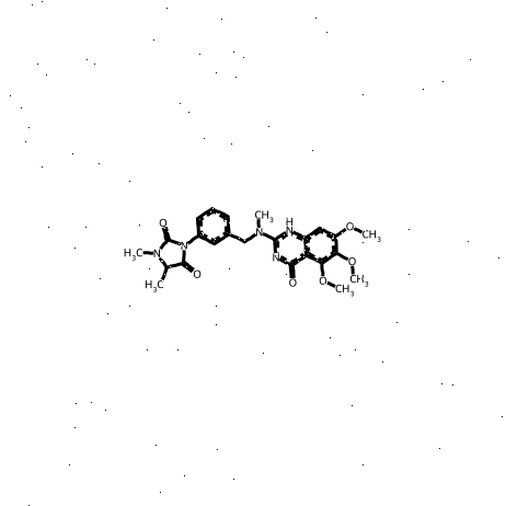 COc1cc2[nH]c(N(C)Cc3cccc(N4C(=O)C(C)N(C)C4=O)c3)nc(=O)c2c(OC)c1OC